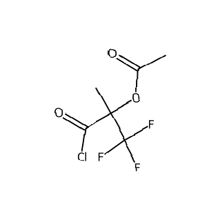 CC(=O)OC(C)(C(=O)Cl)C(F)(F)F